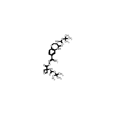 CC(C)(C)OC(=O)N[C@H]1CSc2ccc(/C(N)=N/OC(=O)C3(NC(=O)OC(C)(C)C)COC3)cc2NC1=O